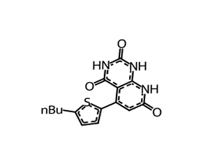 CCCCc1ccc(-c2cc(=O)[nH]c3[nH]c(=O)[nH]c(=O)c23)s1